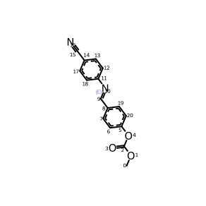 COC(=O)Oc1ccc(/C=N/c2ccc(C#N)cc2)cc1